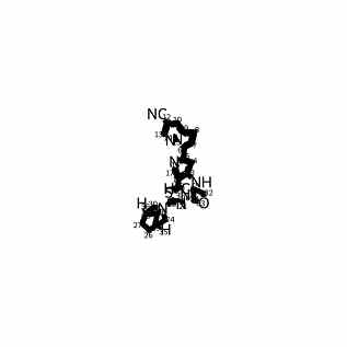 CC1(Nc2cc(-c3ccc4cc(C#N)cnn34)ncc2-c2nnc(N3C[C@@H]4CC[C@@H](C4)C3)s2)COC1